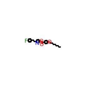 CCCCCCCCOc1ccc(C(=O)Oc2ccc(CCc3ccc(F)cc3)nc2)cc1